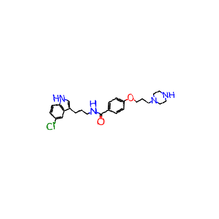 O=C(NCCCc1c[nH]c2ccc(Cl)cc12)c1ccc(OCCCN2CCNCC2)cc1